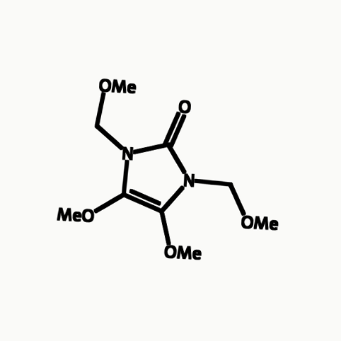 COCn1c(OC)c(OC)n(COC)c1=O